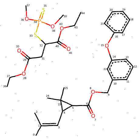 CC(C)=CC1C(C(=O)OCc2cccc(Oc3ccccc3)c2)C1(C)C.CCOC(=O)CC(SP(=S)(OC)OC)C(=O)OCC